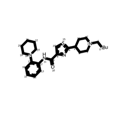 CCC(C)CN1CCC(c2nc(C(=O)Nc3ccccc3N3CCCCC3)cs2)CC1